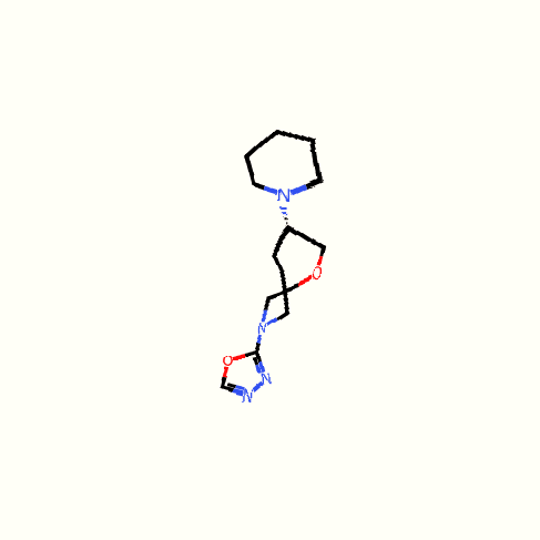 c1nnc(N2CC3(C[C@H](N4CCCCC4)CO3)C2)o1